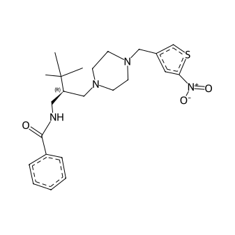 CC(C)(C)[C@H](CNC(=O)c1ccccc1)CN1CCN(Cc2csc([N+](=O)[O-])c2)CC1